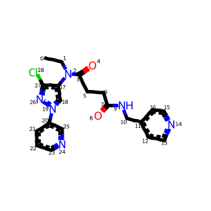 CCN(C(=O)CCC(=O)NCc1ccncc1)c1cn(-c2cccnc2)nc1Cl